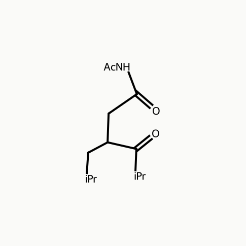 CC(=O)NC(=O)CC(CC(C)C)C(=O)C(C)C